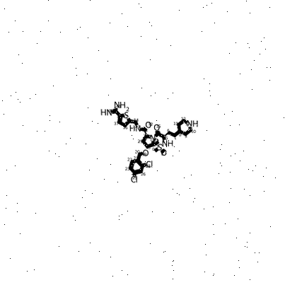 CS(=O)(=O)N[C@H](CCC1CCNCC1)C(=O)N1C[C@H](OCc2ccc(Cl)cc2Cl)C[C@H]1C(=O)NCC1CC=C(C(=N)N)S1